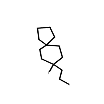 ICCC1(I)CCC2(CCCC2)CC1